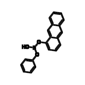 OB(Oc1ccccc1)Oc1cccc2cc3ccccc3cc12